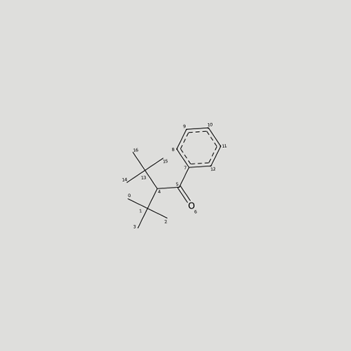 CC(C)(C)C(C(=O)c1ccccc1)C(C)(C)C